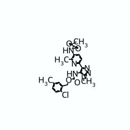 Cc1ccc(Cl)c(COC(=O)Nc2c(-c3ccc(NS(C)(=O)=O)c(C)n3)nnn2C)c1